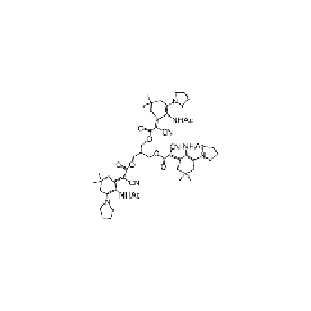 CC(=O)NC1=C(N2CCCC2)CC(C)(C)C/C1=C(/C#N)C(=O)OCC(COC(=O)/C(C#N)=C1\CC(C)(C)CC(N2CCCC2)=C1NC(C)=O)COC(=O)/C(C#N)=C1\CC(C)(C)CC(N2CCCC2)=C1NC(C)=O